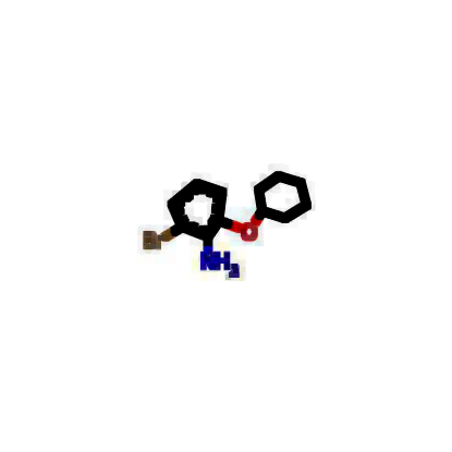 Nc1c(Br)cccc1OC1CCCCC1